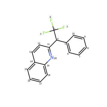 FC(F)(F)C(c1ccccc1)c1ccc2c[c]ccc2n1